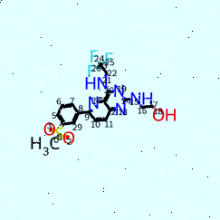 CS(=O)(=O)c1cccc(-c2ccc3nc(NCCO)nc(NCC(F)(F)F)c3n2)c1